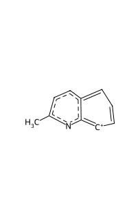 Cc1ccc2c(n1)=[C+]C=CC=2